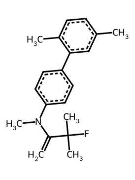 C=C(N(C)c1ccc(-c2cc(C)ccc2C)cc1)C(C)(C)F